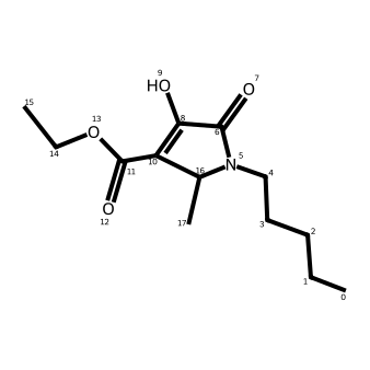 CCCCCN1C(=O)C(O)=C(C(=O)OCC)C1C